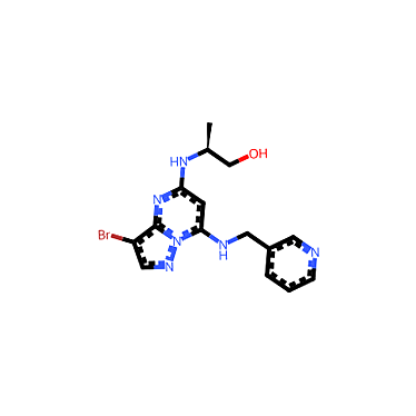 C[C@@H](CO)Nc1cc(NCc2cccnc2)n2ncc(Br)c2n1